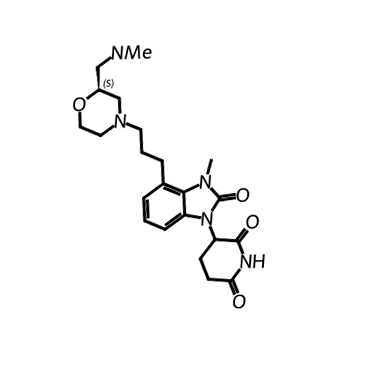 CNC[C@H]1CN(CCCc2cccc3c2n(C)c(=O)n3C2CCC(=O)NC2=O)CCO1